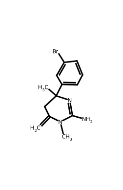 C=C1CC(C)(c2cccc(Br)c2)N=C(N)N1C